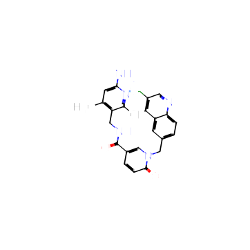 Cc1cc(N)nc(C)c1CNC(=O)c1ccc(=O)n(Cc2ccc3ncc(Cl)cc3c2)c1